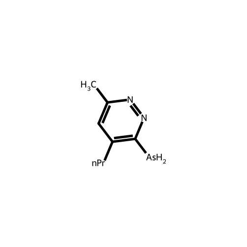 CCCc1cc(C)nnc1[AsH2]